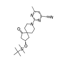 Cc1cc(C#N)nc(N2CCC3(CC2)C[C@@H](O[Si](C)(C)C(C)(C)C)CC3=O)n1